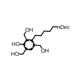 CCCCCCCCCCCCCCCc1c(CO)cc(CO)c(O)c1CO